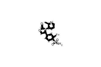 Cc1ncccc1-n1c(-c2ccc(S(N)(=O)=O)c(F)c2)coc1=O